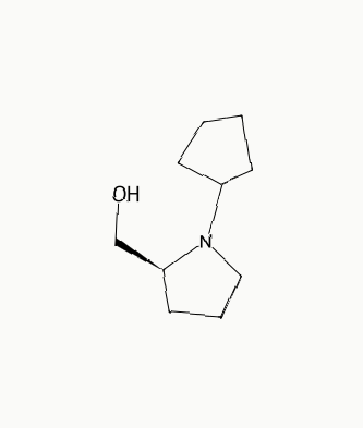 OC[C@@H]1CCCN1C1CCCC1